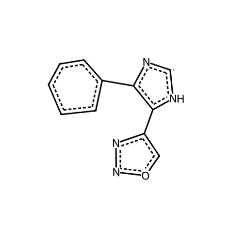 [c]1nc(-c2ccccc2)c(-c2conn2)[nH]1